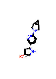 O[C@@H]1CN[C@@H](c2ccc(N3CC4CC4C3)nc2)C1